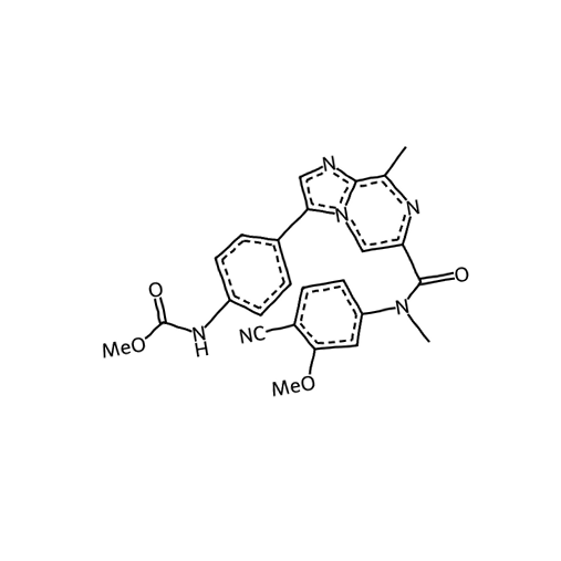 COC(=O)Nc1ccc(-c2cnc3c(C)nc(C(=O)N(C)c4ccc(C#N)c(OC)c4)cn23)cc1